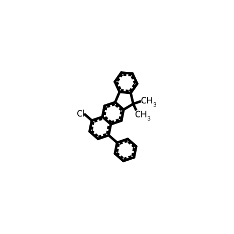 CC1(C)c2ccccc2-c2cc3c(Cl)ccc(-c4ccccc4)c3cc21